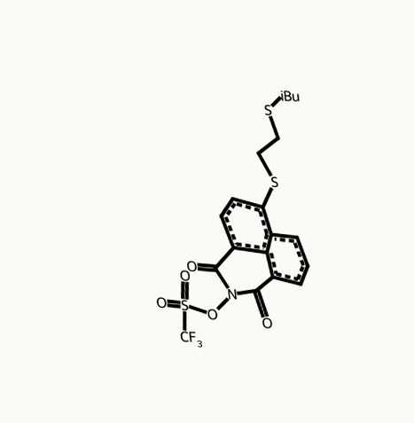 CCC(C)SCCSc1ccc2c3c(cccc13)C(=O)N(OS(=O)(=O)C(F)(F)F)C2=O